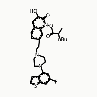 CCCCC(C)C(=O)On1c(=O)c(O)cc2ccc(CCN3CCN(c4cc(F)cc5sccc45)CC3)cc21